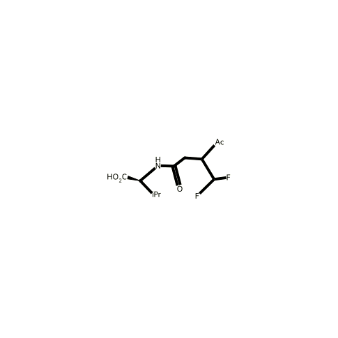 CC(=O)C(CC(=O)N[C@H](C(=O)O)C(C)C)C(F)F